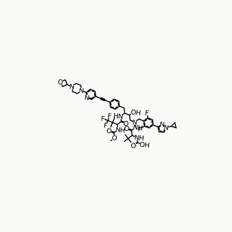 COC(=O)NC(C(=O)NC(Cc1ccc(C#Cc2ccc(N3CCN(C4COC4)CC3)nc2)cc1)C(O)CN(Cc1c(F)cc(-c2ccn(C3CC3)n2)cc1F)NC(=O)C(NC(=O)O)C(C)(C)C)C(C)(C)C(F)(F)F